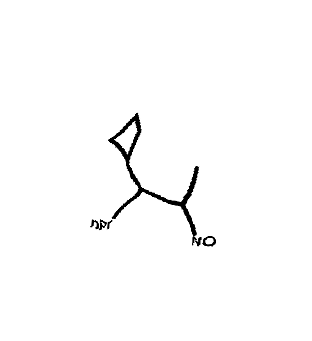 CCCC(C1CC1)C(C)N=O